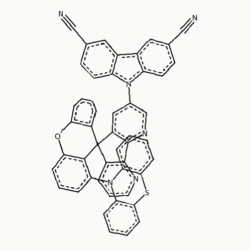 N#Cc1ccc2c(c1)c1cc(C#N)ccc1n2-c1cnc2c(c1)C1(c3ccccc3Oc3cccc(N4c5ccccc5Sc5ccccc54)c31)c1cccnc1-2